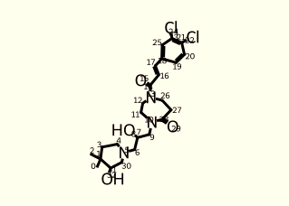 CC1(C)CCN(CC(O)CN2CCN(C(=O)C=Cc3ccc(Cl)c(Cl)c3)CCC2=O)CC1O